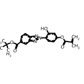 C=C(C)C(=O)Oc1ccc(-n2n3c4ccc(C(=O)OC(C)(C)C)cc4n23)c(O)c1